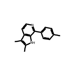 Cc1ccc(-c2nccc3c(C)c(C)[nH]c23)cc1